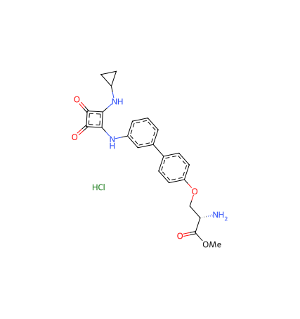 COC(=O)[C@@H](N)COc1ccc(-c2cccc(Nc3c(NC4CC4)c(=O)c3=O)c2)cc1.Cl